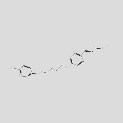 CCON=Cc1ccc(OCCCCCOc2ccc(Cl)nn2)cc1